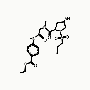 CCCS(=O)(=O)N1CC(S)CC1C(=O)N(C)CC(=O)Nc1ccc(C(=O)OCC)cc1